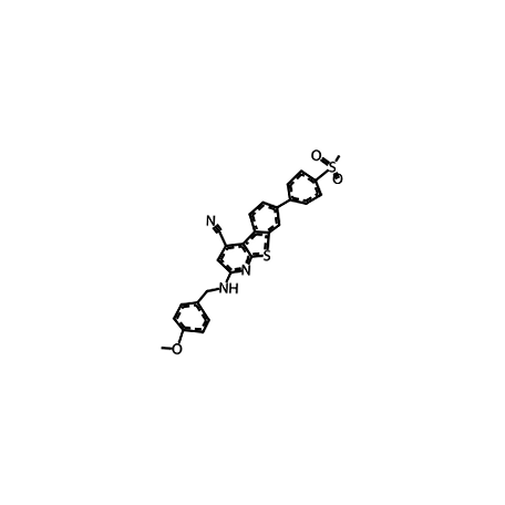 COc1ccc(CNc2cc(C#N)c3c(n2)sc2cc(-c4ccc(S(C)(=O)=O)cc4)ccc23)cc1